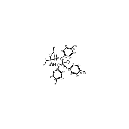 CCOC(N)(O)CC.Cc1ccc(OP(=O)(Oc2ccc(C)cc2)Oc2ccc(C)cc2)cc1